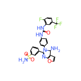 NC1c2ccoc2N=C(c2cccc(S(N)(=O)=O)c2)N1c1ccc(NC(=O)Nc2cc(C(F)(F)F)ccc2F)cc1